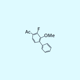 COc1c(-c2ccccc2)ccc(C(C)=O)c1F